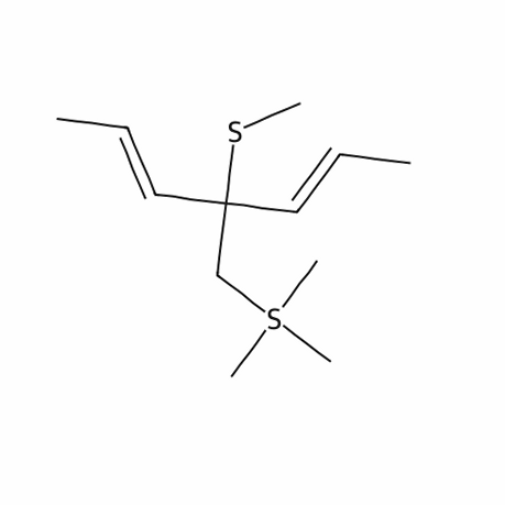 CC=CC(C=CC)(CS(C)(C)C)SC